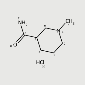 CN1CCCC(C(N)=O)C1.Cl